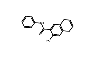 O=C(Nc1ccccc1)c1cc2c(cc1O)CC=CC2